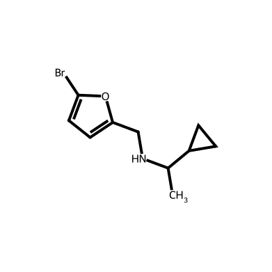 CC(NCc1ccc(Br)o1)C1CC1